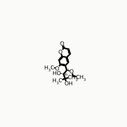 CCO[C@H](c1cc2ccc(=O)oc2cc1OC)[C@@H](O)C(C)(C)O